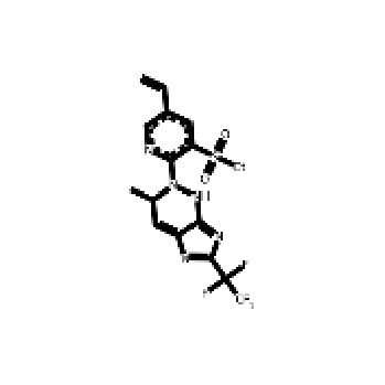 C=Cc1cnc(N2NC3=NC(C(F)(F)C(F)(F)F)=NC3=CC2C)c(S(=O)(=O)CC)c1